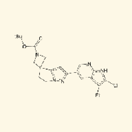 CCc1c(Cl)[nH]c2ncc(-c3cc4n(n3)CCC43CN(C(=O)OC(C)(C)C)C3)cc12